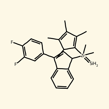 CC1=C(C)C(C)[C]([Zr]([CH3])([CH3])(=[SiH2])[CH]2C=C(c3ccc(F)c(F)c3)c3ccccc32)=C1C